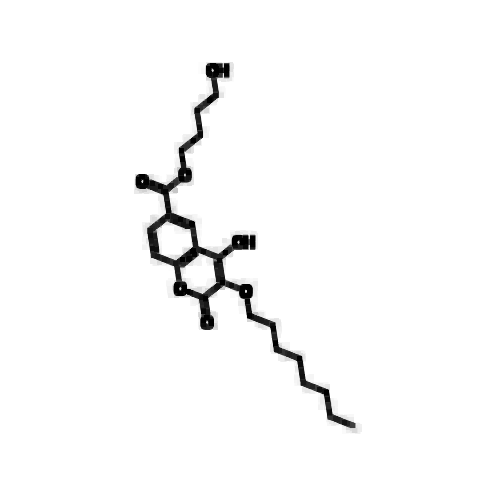 CCCCCCCCOc1c(O)c2cc(C(=O)OCCCCO)ccc2oc1=O